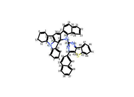 C1=Cc2c(n3c4ccccc4c4c5c(cc2c43)c2ccc3ccccc3c2n5-c2nc(-c3ccc4ccccc4c3)c3sc4ccccc4c3n2)CC1